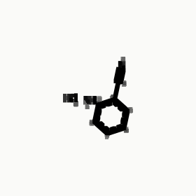 Cl.N.N#Cc1ccccc1